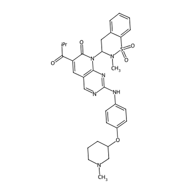 CC(C)C(=O)c1cc2cnc(Nc3ccc(OC4CCCN(C)C4)cc3)nc2n(C2Cc3ccccc3S(=O)(=O)N2C)c1=O